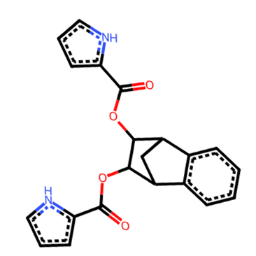 O=C(OC1C2CC(c3ccccc32)C1OC(=O)c1ccc[nH]1)c1ccc[nH]1